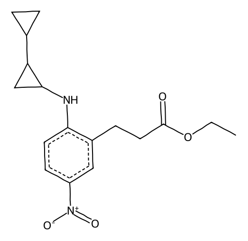 CCOC(=O)CCc1cc([N+](=O)[O-])ccc1NC1CC1C1CC1